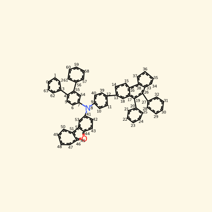 c1ccc(-c2ccc(N(c3ccc(-c4ccc5c(c4)c(-c4ccccc4)c(-c4ccccc4)c4ccccc45)cc3)c3ccc4oc5ccccc5c4c3)cc2-c2ccccc2)cc1